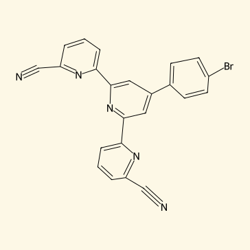 N#Cc1cccc(-c2cc(-c3ccc(Br)cc3)cc(-c3cccc(C#N)n3)n2)n1